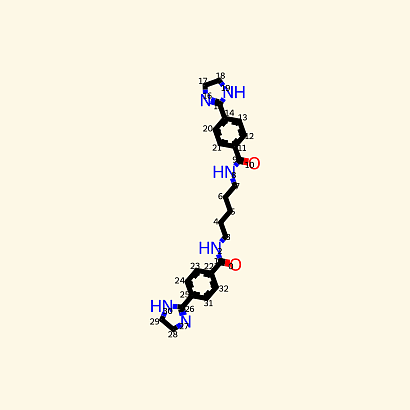 O=C(NCCCCCNC(=O)c1ccc(C2=NCCN2)cc1)c1ccc(C2=NCCN2)cc1